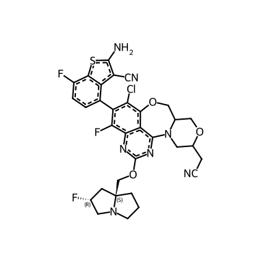 N#CCC1CN2c3nc(OC[C@@]45CCCN4C[C@H](F)C5)nc4c(F)c(-c5ccc(F)c6sc(N)c(C#N)c56)c(Cl)c(c34)OCC2CO1